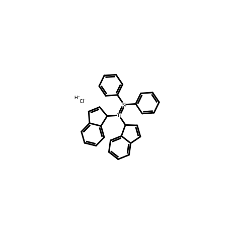 C1=C[CH]([Ti]([CH]2C=Cc3ccccc32)=[Si](c2ccccc2)c2ccccc2)c2ccccc21.[Cl-].[H-]